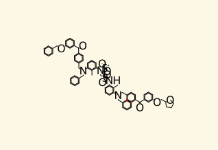 Cc1c(NS(=O)(=O)CN(c2cccc(N(Cc3ccccc3)Cc3ccc(C(=O)c4cccc(OCc5ccccc5)c4)cc3)c2C)S(C)(=O)=O)cccc1N(Cc1ccccc1)Cc1ccc(C(=O)c2cccc(OCC3CCCO3)c2)cc1